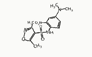 Cc1noc(C)c1S(=O)(=O)Nc1ccc(N(C)C)cc1[N+](=O)[O-]